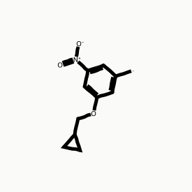 [CH2]c1cc(OCC2CC2)cc([N+](=O)[O-])c1